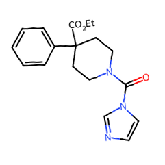 CCOC(=O)C1(c2ccccc2)CCN(C(=O)n2ccnc2)CC1